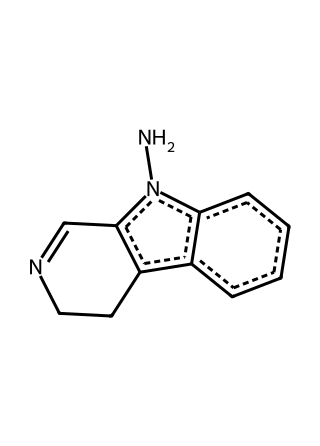 Nn1c2c(c3ccccc31)CCN=C2